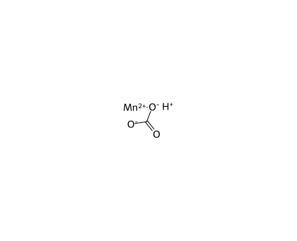 O=C([O-])[O-].[H+].[Mn+2]